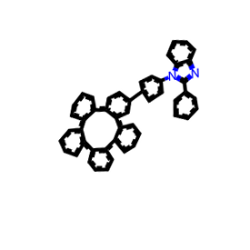 c1ccc(-c2nc3ccccc3n2-c2ccc(-c3ccc4c5ccccc5c5ccccc5c5ccccc5c5ccccc5c4c3)cc2)cc1